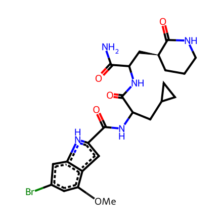 COc1cc(Br)cc2[nH]c(C(=O)NC(CC3CC3)C(=O)NC(C[C@@H]3CCCNC3=O)C(N)=O)cc12